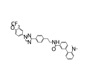 CN(C)c1ccccc1-c1cccc(C(=O)NCCc2ccc(-c3ncn(-c4ccc(OC(F)(F)F)cc4)n3)cc2)c1